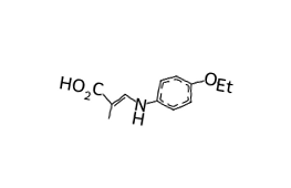 CCOc1ccc(NC=C(C)C(=O)O)cc1